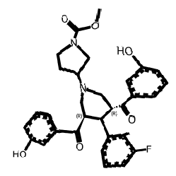 COC(=O)N1CCC(N2C[C@H](C(=O)c3cccc(O)c3)C(c3cccc(F)c3C)[C@@H](C(=O)c3cccc(O)c3)C2)C1